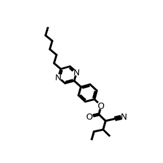 CCCCCCc1cnc(-c2ccc(OC(=O)C(C#N)C(C)CC)cc2)cn1